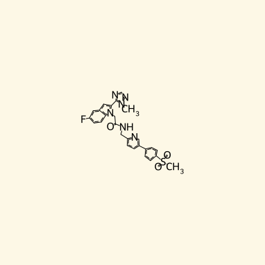 Cn1ncnc1-c1cc2cc(F)ccc2n1CC(=O)NCc1ccc(-c2ccc(S(C)(=O)=O)cc2)cn1